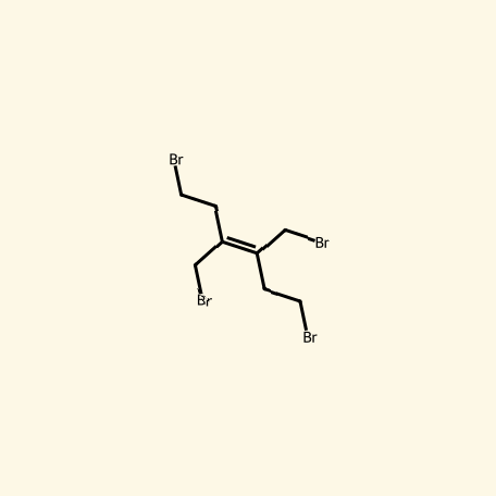 BrCCC(CBr)=C(CBr)CCBr